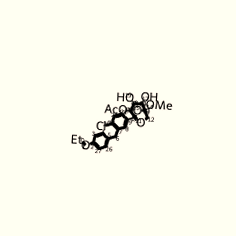 CCOc1ccc(Cc2cc([C@]34OC[C@](OC)(O3)[C@@H](O)[C@H](O)[C@H]4OC(C)=O)ccc2Cl)cc1